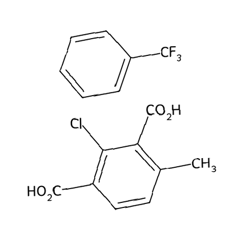 Cc1ccc(C(=O)O)c(Cl)c1C(=O)O.FC(F)(F)c1ccccc1